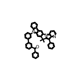 CC1(C)c2cc3c(cc2-n2c1c(-c1ccccc1)c1ncccc12)c1ccccc1n3-c1cccc(-c2cccc(C(=O)c3ccccc3)c2)c1